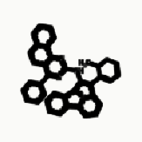 CC1CC=CC=C1c1c(Nc2nc(-c3ccccc3)c3ccc4ccccc4c3n2)c2c3ccccc3c3cccc1n32